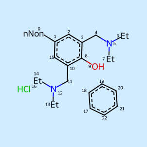 CCCCCCCCCc1cc(CN(CC)CC)c(O)c(CN(CC)CC)c1.Cl.c1ccccc1